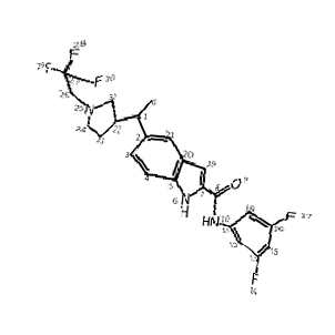 CC(c1ccc2[nH]c(C(=O)Nc3cc(F)cc(F)c3)cc2c1)C1CCN(CC(F)(F)F)C1